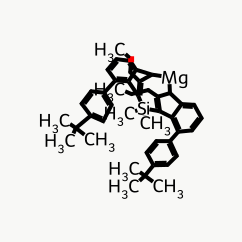 CCCC1=C2c3c(-c4ccc(C(C)(C)C)cc4)cccc3[CH]1[Mg][CH]1C(CCC)=C(c3c(-c4ccc(C(C)(C)C)cc4)cccc31)[Si]2(C)C